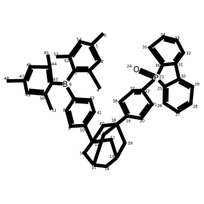 Cc1cc(C)c(B(c2ccc(C34CC5CC(C3)CC(c3ccc(P6(=O)c7ccccc7-c7ccccc76)cc3)(C5)C4)cc2)c2c(C)cc(C)cc2C)c(C)c1